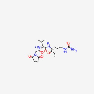 CCC(=O)[C@@H](CCCNC(N)=O)NC(=O)[C@H](NC(=O)CN1C(=O)C=CC1=O)C(C)C